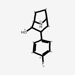 OC1C2CCC(CC1c1ccc(F)cc1)N2